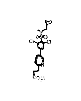 CN(CC1CO1)S(=O)(=O)c1c(Cl)cc(-c2ccc(CCC(=O)O)nc2)cc1Cl